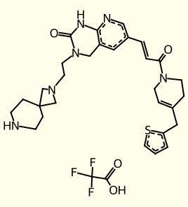 O=C(C=Cc1cnc2c(c1)CN(CCN1CC3(CCNCC3)C1)C(=O)N2)N1CC=C(Cc2cccs2)CC1.O=C(O)C(F)(F)F